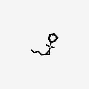 CCCCC1CC1[Si](C)(C)c1ccccc1